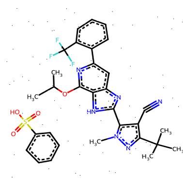 CC(C)Oc1nc(-c2ccccc2C(F)(F)F)cc2nc(-c3c(C#N)c(C(C)(C)C)nn3C)[nH]c12.O=S(=O)(O)c1ccccc1